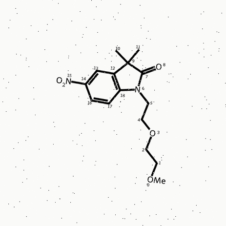 COCCOCCN1C(=O)C(C)(C)c2cc([N+](=O)[O-])ccc21